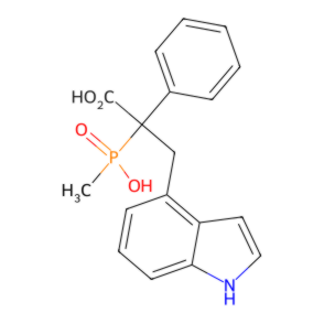 CP(=O)(O)C(Cc1cccc2[nH]ccc12)(C(=O)O)c1ccccc1